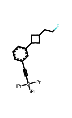 CC(C)[Si](C#Cc1cccc(C2CC(CCF)C2)c1)(C(C)C)C(C)C